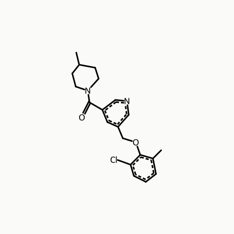 Cc1cccc(Cl)c1OCc1cncc(C(=O)N2CCC(C)CC2)c1